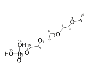 [CH2]COCCOCCOCCOP(=O)(O)O